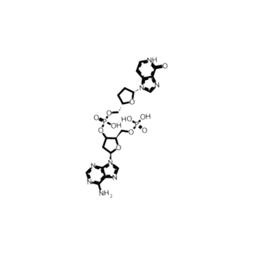 Nc1ncnc2c1ncn2[C@H]1CC(OP(=O)(O)OC[C@@H]2CC[C@H](n3cnc4c(=O)[nH]ccc43)O2)[C@@H](COP(=O)(O)O)O1